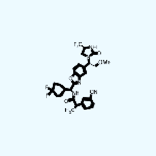 COC[C@H](c1ccc2oc([C@@H](NC(=O)C(C)c3cccc(C#N)c3)C3CCC(F)(F)CC3)nc2c1)N1C[C@@H](C(F)(F)F)NC1=O